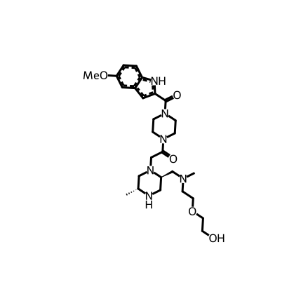 COc1ccc2[nH]c(C(=O)N3CCN(C(=O)CN4C[C@@H](C)NC[C@@H]4CN(C)CCOCCO)CC3)cc2c1